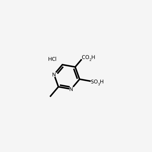 Cc1ncc(C(=O)O)c(S(=O)(=O)O)n1.Cl